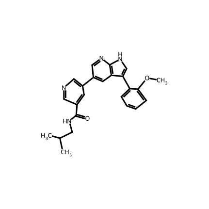 COc1ccccc1-c1c[nH]c2ncc(-c3cncc(C(=O)NCC(C)C)c3)cc12